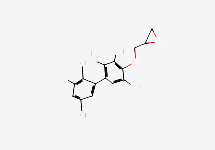 Cc1cc(C)c(C)c(-c2cc(C)c(OCC3CO3)c(C)c2C)c1